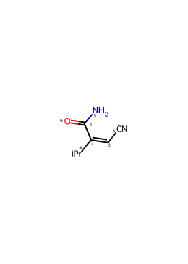 CC(C)C(=CC#N)C(N)=O